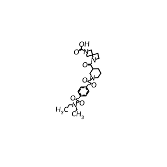 CCN(CC)S(=O)(=O)c1ccc(S(=O)(=O)N2CCCC(C(=O)N3CCC34CN(C(=O)O)C4)C2)cc1